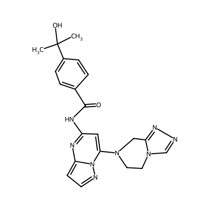 CC(C)(O)c1ccc(C(=O)Nc2cc(N3CCn4cnnc4C3)n3nccc3n2)cc1